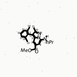 CCCN(C)c1cc(C(=O)OC)cc2c(-c3c(C)cccc3C)c(C)nn12